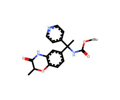 CC1Oc2ccc(C(C)(NC(=O)OC(C)(C)C)c3ccncc3)cc2NC1=O